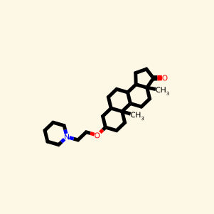 CC12CCC3C(CCC4CC(OCCN5CCCCC5)CCC43C)C1CCC2=O